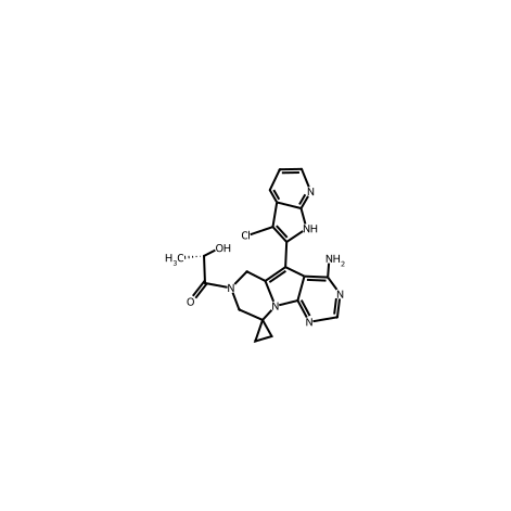 C[C@H](O)C(=O)N1Cc2c(-c3[nH]c4ncccc4c3Cl)c3c(N)ncnc3n2C2(CC2)C1